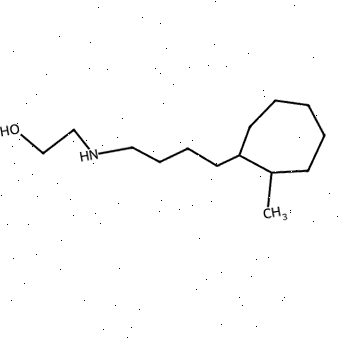 CC1CCCCCC1CCCCNCCO